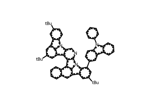 CC(C)(C)c1ccc2c(c1)c1cc(C(C)(C)C)cc3c4c5c6c7ccccc7cc7c8cc(C(C)(C)C)cc(-c9ccc%10c(c9)c9ccccc9n%10-c9ccccc9)c8n(c5ncc4n2c13)c76